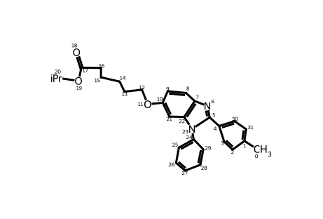 Cc1ccc(-c2nc3ccc(OCCCCCC(=O)OC(C)C)cc3n2-c2ccccc2)cc1